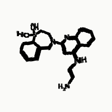 NCCNc1cc(N2CCS(O)(O)c3ccccc3C2)nc2[c]cccc12